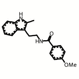 COc1ccc(C(=O)NCCc2c(C)[nH]c3ccccc23)cc1